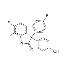 Cc1c(F)ccc2c1NC(=O)C2(c1ccc(O)cc1)c1ccc(F)cc1